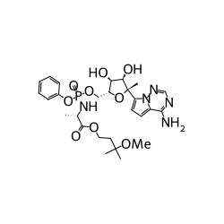 COC(C)(C)CCOC(=O)[C@H](C)NP(=O)(OC[C@H]1O[C@@](C)(c2ccc3c(N)ncnn23)[C@H](O)[C@@H]1O)Oc1ccccc1